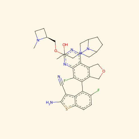 CC(O)CN1CC2CCC(C1)N2c1nc(OC[C@@H]2CCN2C)nc2c(F)c(-c3c(F)ccc4sc(N)c(C#N)c34)c3c(c12)COC3